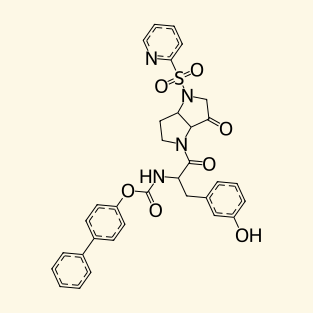 O=C(NC(Cc1cccc(O)c1)C(=O)N1CCC2C1C(=O)CN2S(=O)(=O)c1ccccn1)Oc1ccc(-c2ccccc2)cc1